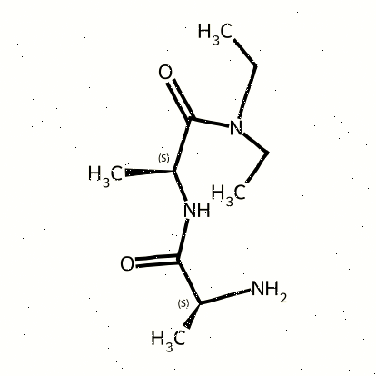 CCN(CC)C(=O)[C@H](C)NC(=O)[C@H](C)N